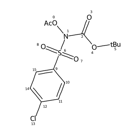 CC(=O)ON(C(=O)OC(C)(C)C)S(=O)(=O)c1ccc(Cl)cc1